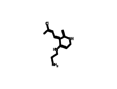 C=C1NCC=C(NCCN)/C1=C/C=C(\C)Cl